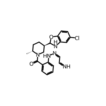 C[C@@H]1CC[C@@H](C2Nc3cc(Cl)ccc3O2)CN1C(=O)c1ccccc1N/N=C\C=N